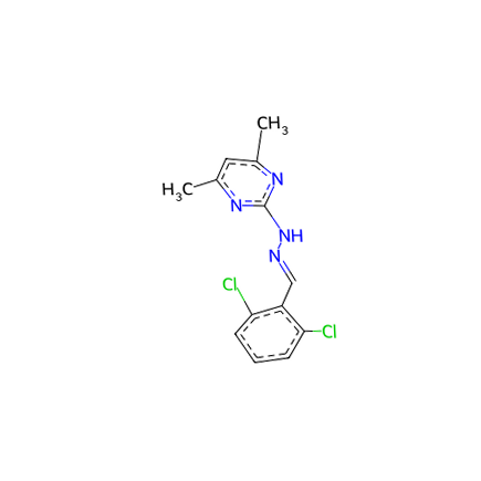 Cc1cc(C)nc(NN=Cc2c(Cl)cccc2Cl)n1